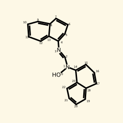 ON(C=Nc1cccc2ccccc12)c1cccc2ccccc12